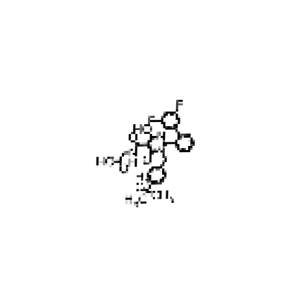 CC(C)(C)c1ccc(Cn2c(-c3ccccc3-c3cc(F)cc(F)c3)nc(O)c(C(=O)NCC(=O)O)c2=O)cc1